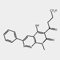 Cn1c(=O)c(C(=O)CCC(=O)O)c(O)c2cc(-c3ccccc3)nnc21